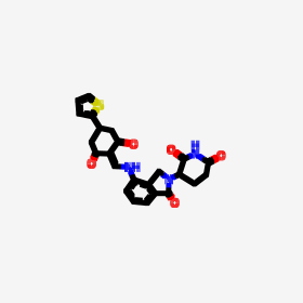 O=C1CCC(N2Cc3c(NC=C4C(=O)CC(c5cccs5)CC4=O)cccc3C2=O)C(=O)N1